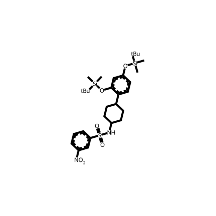 CC(C)(C)[Si](C)(C)Oc1ccc(C2CCC(NS(=O)(=O)c3cccc([N+](=O)[O-])c3)CC2)c(O[Si](C)(C)C(C)(C)C)c1